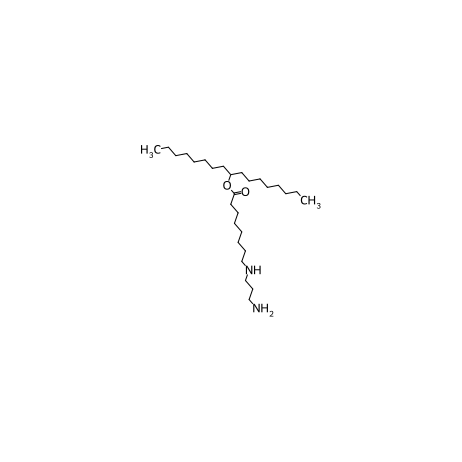 CCCCCCCCC(CCCCCCCC)OC(=O)CCCCCCCNCCCN